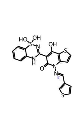 O=c1c(C2=NS(O)(O)c3ccccc3N2)c(O)c2sccc2n1/N=C/c1ccsc1